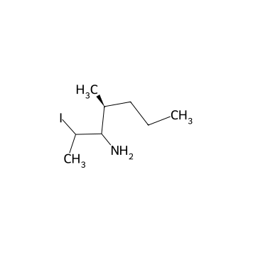 CCC[C@H](C)C(N)C(C)I